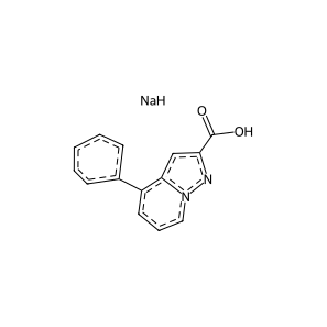 O=C(O)c1cc2c(-c3ccccc3)cccn2n1.[NaH]